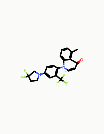 Cc1cccc2c1c(=O)ccn2-c1ccc(N2CCC(F)(F)C2)cc1C(F)(F)F